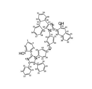 Oc1ccccc1-c1nc(-c2ccccc2)c(-c2ccccc2)n1-c1ccc(Oc2ccc(-n3c(-c4cc5ccccc5cc4O)nc4c5ccccc5c5ccccc5c43)cc2)cc1